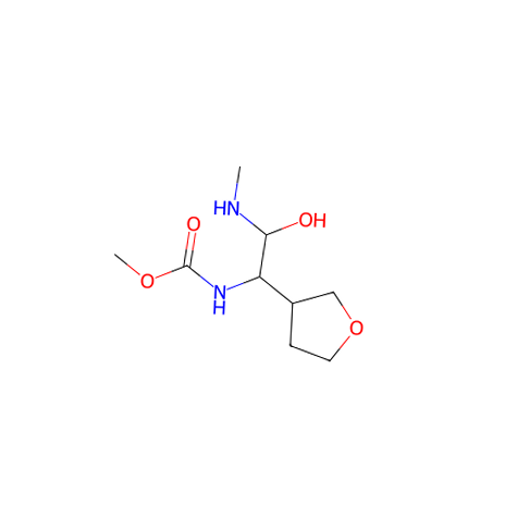 CNC(O)C(NC(=O)OC)C1CCOC1